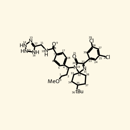 COCCC(c1ccc(C(=O)NCC2=NNNN2)cc1)N1C(=O)C(c2cc(Cl)cc(Cl)c2)=NC12CCC(C(C)(C)C)CC2